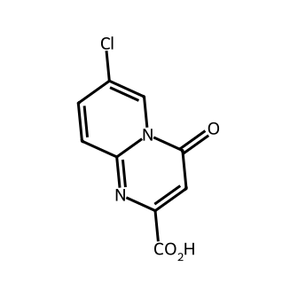 O=C(O)c1cc(=O)n2cc(Cl)ccc2n1